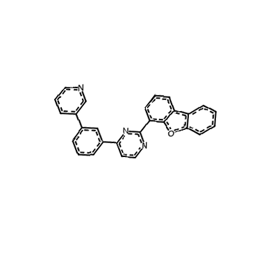 c1cncc(-c2cccc(-c3ccnc(-c4cccc5c4oc4ccccc45)n3)c2)c1